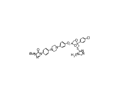 CC[C@@H](C)n1ncn(-c2ccc(N3CCN(c4ccc(OC[C@@H]5COC(CSc6nncn6C)(c6ccc(Cl)cc6)O5)cc4)CC3)cc2)c1=O